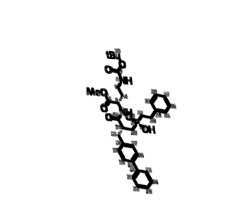 COC(=O)[C@H](CCNC(=O)OC(C)(C)C)NC(=O)[C@@H](Cc1ccc(-c2ccccc2)cc1)CP(=O)(O)CCc1ccccc1